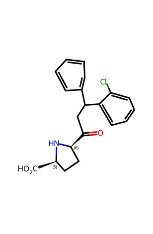 O=C(O)[C@@H]1CC[C@H](C(=O)CC(c2ccccc2)c2ccccc2Cl)N1